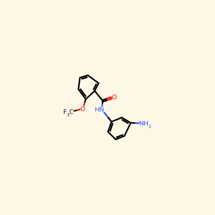 Nc1cccc(NC(=O)c2ccccc2OC(F)(F)F)c1